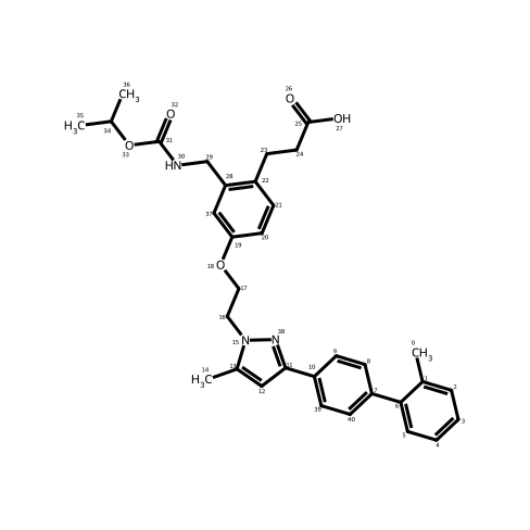 Cc1ccccc1-c1ccc(-c2cc(C)n(CCOc3ccc(CCC(=O)O)c(CNC(=O)OC(C)C)c3)n2)cc1